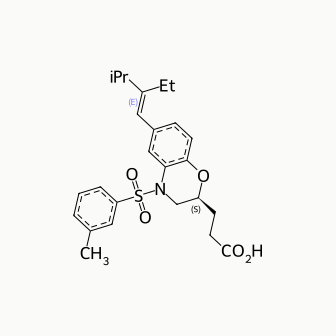 CC/C(=C\c1ccc2c(c1)N(S(=O)(=O)c1cccc(C)c1)C[C@H](CCC(=O)O)O2)C(C)C